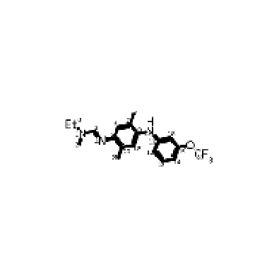 CCN(C)C=Nc1cc(C)c(Nc2cccc(OC(F)(F)F)c2)cc1C